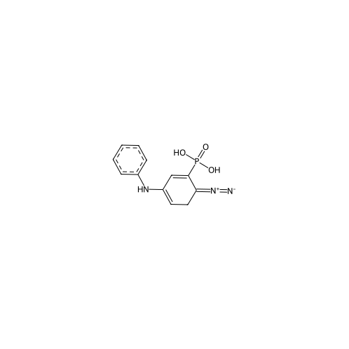 [N-]=[N+]=C1CC=C(Nc2ccccc2)C=C1P(=O)(O)O